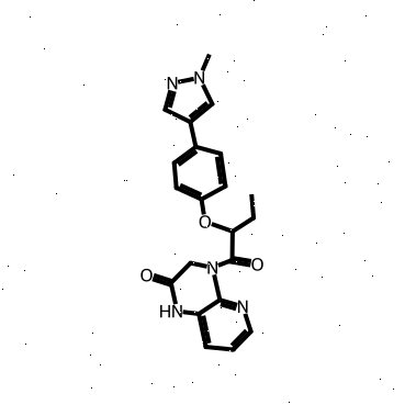 CCC(Oc1ccc(-c2cnn(C)c2)cc1)C(=O)N1CC(=O)Nc2cccnc21